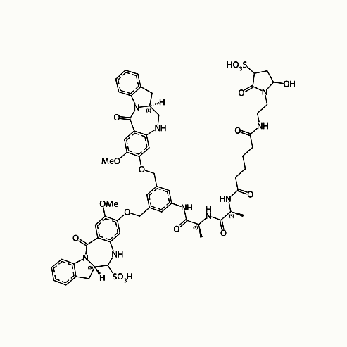 COc1cc2c(cc1OCc1cc(COc3cc4c(cc3OC)C(=O)N3c5ccccc5C[C@H]3C(S(=O)(=O)O)N4)cc(NC(=O)[C@H](C)NC(=O)[C@H](C)NC(=O)CCCCC(=O)NCCN3C(=O)C(S(=O)(=O)O)CC3O)c1)NC[C@@H]1Cc3ccccc3N1C2=O